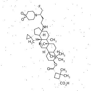 CC1([C@@H]2CC[C@]3(NCC[C@H](CF)N4CCS(=O)(=O)CC4)CC[C@]4(C)[C@H](CC[C@@H]5[C@@]6(C)CC[C@H](OC(=O)[C@H]7C[C@@H](C(=O)O)C7(C)C)C(C)(C)[C@@H]6CC[C@]54C)[C@@H]23)CC1